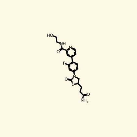 NC(=O)CCC1CN(c2ccc(-c3ccnc(C(=O)NCCO)c3)c(F)c2)C(=O)O1